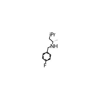 CC(C)C[C@H](C)NCc1ccc(F)cc1